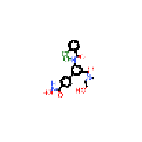 CN(CCO)C(=O)c1cc(-c2ccc(C(=O)NO)cc2)cc(N(Cl)C(=O)c2ccccc2Cl)c1